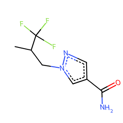 CC(Cn1cc(C(N)=O)cn1)C(F)(F)F